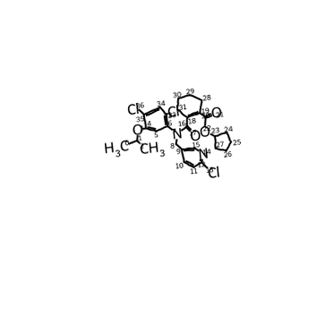 CC(C)Oc1cc(N(Cc2ccc(Cl)nc2)C(=O)C2=C(C(=O)OC3CCCC3)CCCC2)c(Cl)cc1Cl